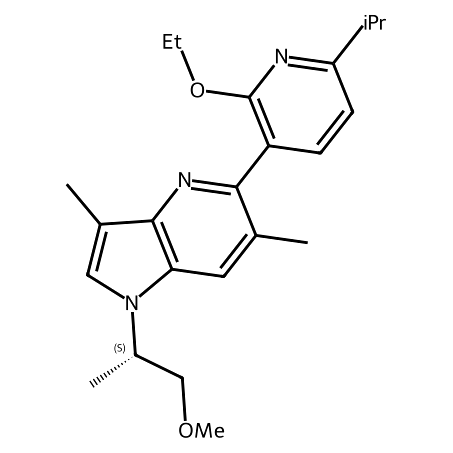 CCOc1nc(C(C)C)ccc1-c1nc2c(C)cn([C@@H](C)COC)c2cc1C